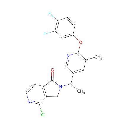 Cc1cc(C(C)N2Cc3c(ccnc3Cl)C2=O)cnc1Oc1ccc(F)c(F)c1